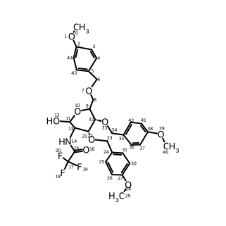 COc1ccc(COCC2OC(O)C(NC(=O)C(F)(F)F)[C@@H](OCc3ccc(OC)cc3)[C@@H]2OCc2ccc(OC)cc2)cc1